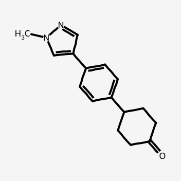 Cn1cc(-c2ccc(C3CCC(=O)CC3)cc2)cn1